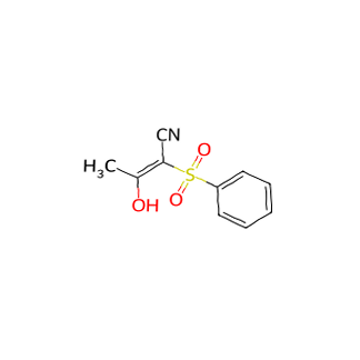 C/C(O)=C(\C#N)S(=O)(=O)c1ccccc1